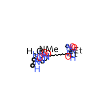 CCC(=O)N[C@@H](CN(CC)C(=O)CCCCCCCCCCC(=O)N1CCC2CCC(c3nc4cccc(-c5ccccc5)c4[nH]3)N2C(=O)C(NC(=O)C(C)NC)C1)C(=O)N1CCCC1